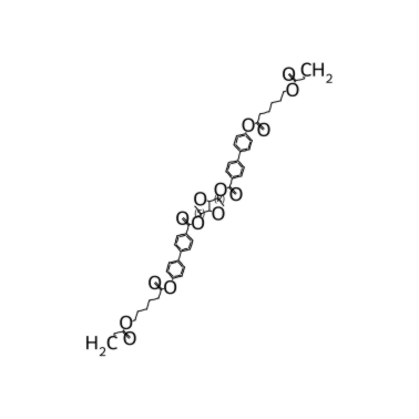 C=CC(=O)OCCCCCC(=O)Oc1ccc(-c2ccc(C(=O)O[C@H]3COC4C3OC[C@H]4OC(=O)c3ccc(-c4ccc(OC(=O)CCCCCOC(=O)C=C)cc4)cc3)cc2)cc1